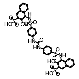 O=C(Nc1ccc(S(=O)(=O)Nc2c(O)c(S(=O)(=O)O)cc3ccccc23)cc1)Nc1ccc(S(=O)(=O)Nc2c(O)c(S(=O)(=O)O)cc3ccccc23)cc1